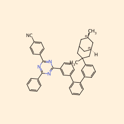 C[C@@H]1CC2C[C@@H](C1)CC(C)(c1cccc(-c3ccccc3-c3cccc(-c4nc(-c5ccccc5)nc(-c5ccc(C#N)cc5)n4)c3)c1)C2